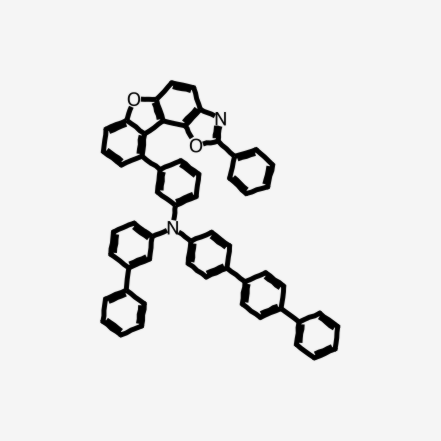 c1ccc(-c2ccc(-c3ccc(N(c4cccc(-c5ccccc5)c4)c4cccc(-c5cccc6oc7ccc8nc(-c9ccccc9)oc8c7c56)c4)cc3)cc2)cc1